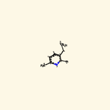 CCc1nc(C)ccc1CC(=O)O